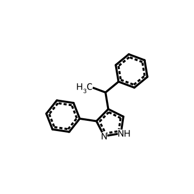 CC(c1ccccc1)c1c[nH]nc1-c1ccccc1